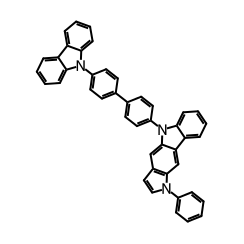 c1ccc(-n2ccc3cc4c(cc32)c2ccccc2n4-c2ccc(-c3ccc(-n4c5ccccc5c5ccccc54)cc3)cc2)cc1